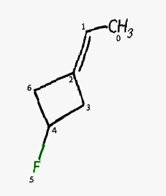 CC=C1CC(F)C1